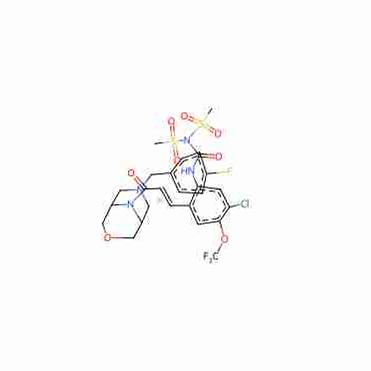 CS(=O)(=O)N(C(=O)Nc1cc(Cl)c(OC(F)(F)F)cc1/C=C/C(=O)N1C2COCC1CN(Cc1ccc(F)cc1)C2)S(C)(=O)=O